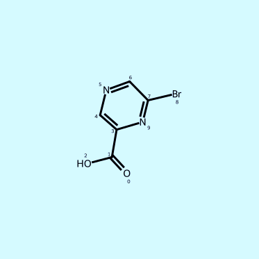 O=C(O)c1cncc(Br)n1